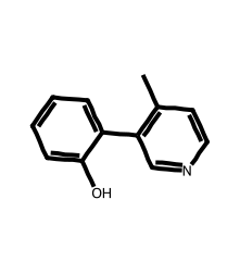 Cc1ccncc1-c1ccccc1O